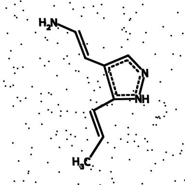 C/C=C/c1[nH]ncc1/C=C/N